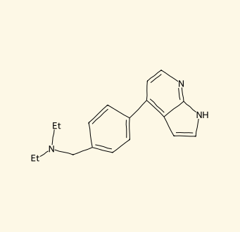 CCN(CC)Cc1ccc(-c2ccnc3[nH]ccc23)cc1